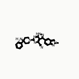 Cn1cc2cc(-c3n[nH]c4nc(N5CCC(N)(c6ccccc6)CC5)nc(C#N)c34)ccc2n1